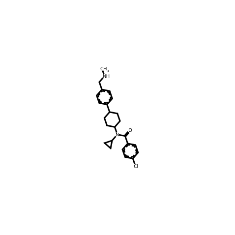 CNCc1ccc(C2CCC(N(C(=O)c3ccc(Cl)cc3)C3CC3)CC2)cc1